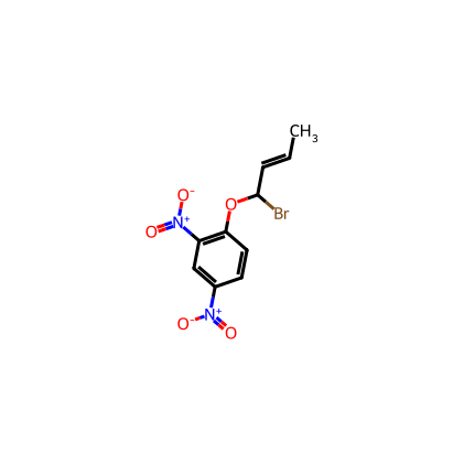 CC=CC(Br)Oc1ccc([N+](=O)[O-])cc1[N+](=O)[O-]